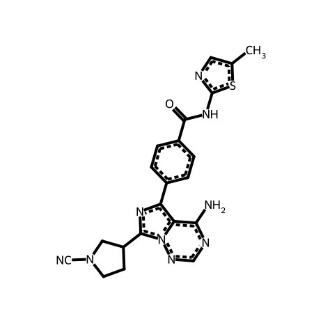 Cc1cnc(NC(=O)c2ccc(-c3nc(C4CCN(C#N)C4)n4ncnc(N)c34)cc2)s1